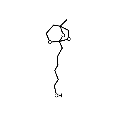 CC12CCOC(CCCCCCO)(OC1)O2